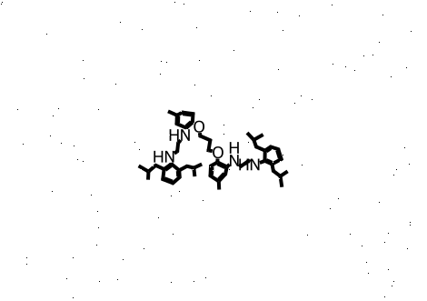 Cc1ccc(OCCCOc2ccc(C)cc2NCCNc2c(CC(C)C)cccc2CC(C)C)c(NCCNc2c(CC(C)C)cccc2CC(C)C)c1